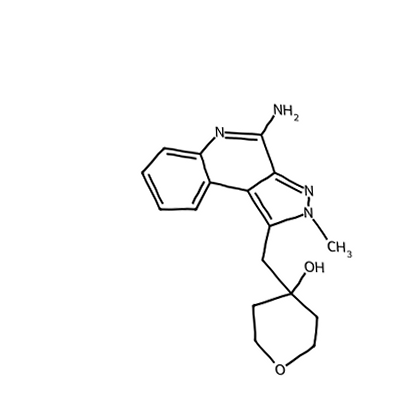 Cn1nc2c(N)nc3ccccc3c2c1CC1(O)CCOCC1